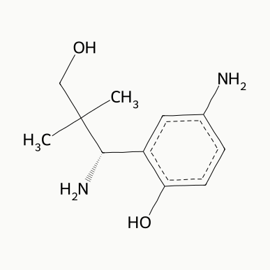 CC(C)(CO)[C@@H](N)c1cc(N)ccc1O